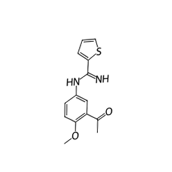 COc1ccc(NC(=N)c2cccs2)cc1C(C)=O